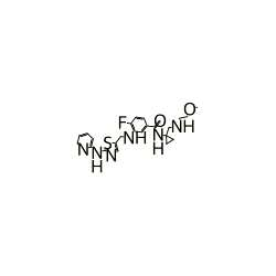 COCCNCC1(NC(=O)c2ccc(F)c(NCc3cnc(Nc4ccccn4)s3)c2)CC1